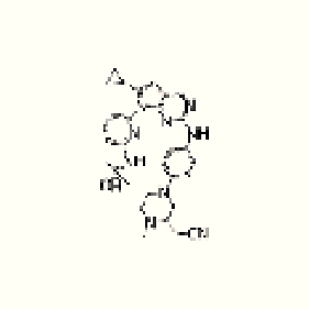 CN1CCN(c2ccc(Nc3ncc4cc(C5CC5)n(-c5cccc(N[SH](C)(C)=O)n5)c4n3)cc2)C[C@@H]1CC#N